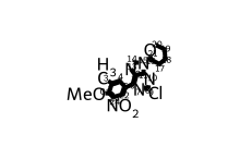 COc1c(C)cc(-c2nc(Cl)nc3c2ncn3C2CCCCO2)cc1[N+](=O)[O-]